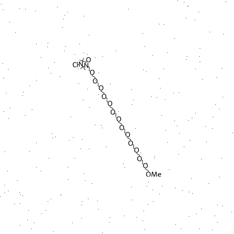 COCCOCCOCCOCCOCCOCCOCCOCCOCCOCCOCCOCCOCCOCCN1C(=O)C(C)(C)N(Cl)C1(C)C